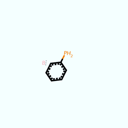 Pc1ccccc1.[B]